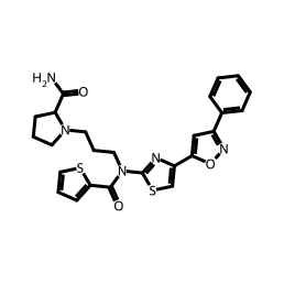 NC(=O)C1CCCN1CCCN(C(=O)c1cccs1)c1nc(-c2cc(-c3ccccc3)no2)cs1